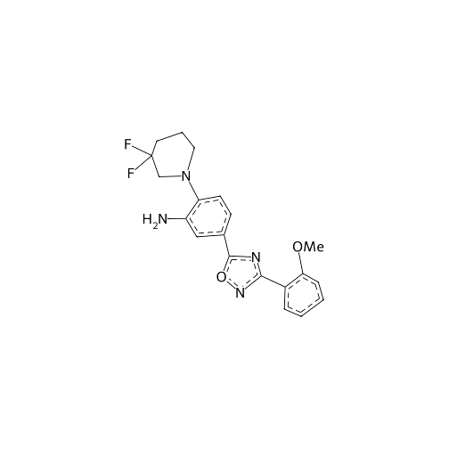 COc1ccccc1-c1noc(-c2ccc(N3CCCC(F)(F)C3)c(N)c2)n1